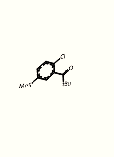 CSc1ccc(Cl)c(C(=O)C(C)(C)C)c1